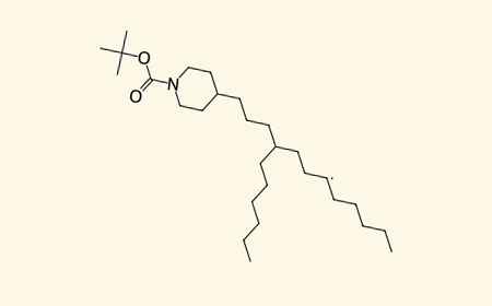 CCCCC[CH]CCC(CCCCCC)CCCC1CCN(C(=O)OC(C)(C)C)CC1